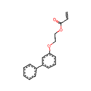 C=CC(=O)OCCOc1cccc(-c2ccccc2)c1